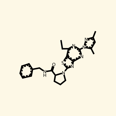 CCc1nc(-n2nc(C)cc2C)nc2nc(N3CCCC3C(=O)NCc3ccccc3)sc12